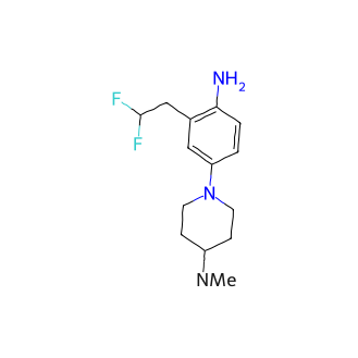 CNC1CCN(c2ccc(N)c(CC(F)F)c2)CC1